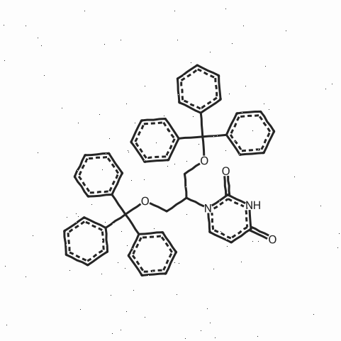 O=c1ccn(C(COC(c2ccccc2)(c2ccccc2)c2ccccc2)COC(c2ccccc2)(c2ccccc2)c2ccccc2)c(=O)[nH]1